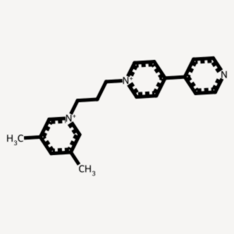 Cc1cc(C)c[n+](CCC[n+]2ccc(-c3ccncc3)cc2)c1